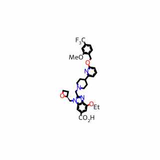 CCOc1cc(C(=O)O)cc2c1nc(CN1CCC(c3cccc(OCc4ccc(C(F)(F)F)cc4OC)n3)CC1)n2C[C@@H]1CCO1